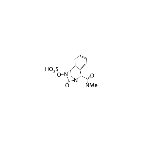 CNC(=O)C1c2ccccc2C2CN1C(=O)N2OS(=O)(=O)O